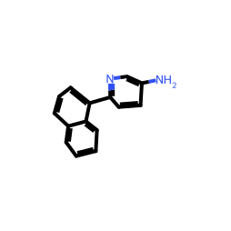 Nc1ccc(-c2cccc3ccccc23)nc1